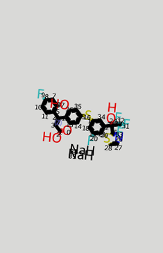 O=C(O)/C=C(/c1ccc(F)cc1)c1ccc(Sc2cc(F)cc(C(O)(c3nccs3)C(F)(F)F)c2)cc1O.[NaH].[NaH]